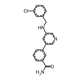 NC(=O)c1cccc(-c2cncc(NCc3cccc(Cl)c3)c2)c1